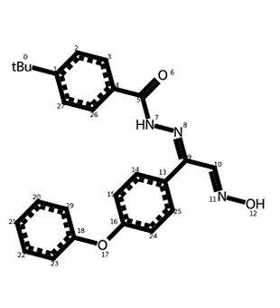 CC(C)(C)c1ccc(C(=O)NN=C(C=NO)c2ccc(Oc3ccccc3)cc2)cc1